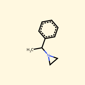 CC(c1ccccc1)N1CC1